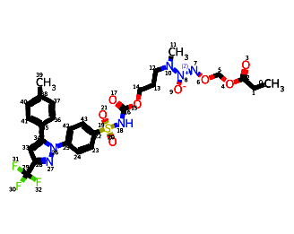 CCC(=O)OCO/N=[N+](\[O-])N(C)CCCOC(=O)NS(=O)(=O)c1ccc(-n2nc(C(F)(F)F)cc2-c2ccc(C)cc2)cc1